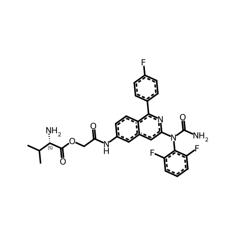 CC(C)[C@H](N)C(=O)OCC(=O)Nc1ccc2c(-c3ccc(F)cc3)nc(N(C(N)=O)c3c(F)cccc3F)cc2c1